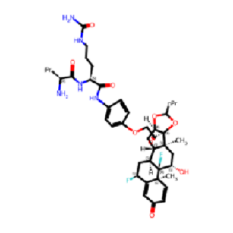 CCCC1O[C@@H]2C[C@H]3[C@@H]4C[C@H](F)C5=CC(=O)C=C[C@]5(C)[C@@]4(F)[C@@H](O)C[C@]3(C)[C@]2(C(=O)COc2ccc(NC(=O)[C@H](CCCNC(N)=O)NC(=O)[C@@H](N)C(C)C)cc2)O1